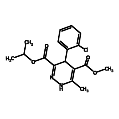 COC(=O)C1=C(C)NN=C(C(=O)OC(C)C)C1c1ccccc1Cl